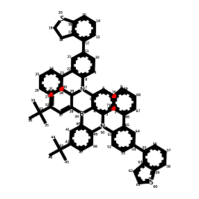 Cc1cc2c3c(c1)N(c1ccc(-c4cccc5c4CCS5)cc1-c1ccccc1)C1CC=C(C(C)(C)C)C=C1B3c1cc(C(C)(C)C)ccc1N2c1ccc(-c2cccc3sccc23)cc1-c1ccccc1